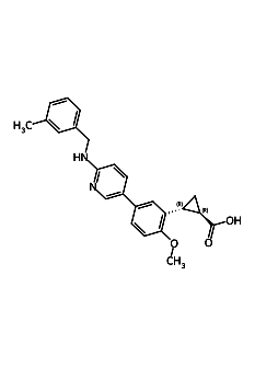 COc1ccc(-c2ccc(NCc3cccc(C)c3)nc2)cc1[C@@H]1C[C@H]1C(=O)O